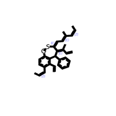 C=C/C(C)=C1/C(=C\C=C(C)\C=C/C)SOc2ccc(/C=C\C)c(C=C)c2C1c1ccccc1